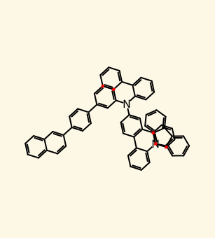 c1ccc(-c2cc(N(c3cccc(-c4ccc(-c5ccc6ccccc6c5)cc4)c3)c3ccccc3-c3ccccc3)ccc2-c2ccccc2-n2c3ccccc3c3ccccc32)cc1